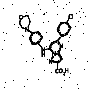 O=C(O)c1cc2nc(-c3ccc(Cl)cc3)cc(Nc3ccc(N4CCOCC4)cc3)n2n1